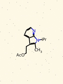 CC(=O)OCCc1c(C)n(C(C)C)c2ncccc12